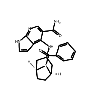 NC(=O)c1cnc2[nH]ccc2c1N[C@H]1C[C@H]2CC[C@@H](C1)N2C(=O)c1ccccc1